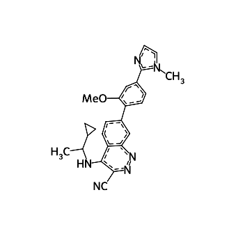 COc1cc(-c2nccn2C)ccc1-c1ccc2c(NC(C)C3CC3)c(C#N)nnc2c1